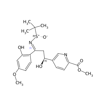 COC(=O)c1ccc([C@@H](O)C/C(=N\[S@@+]([O-])C(C)(C)C)c2ccc(OC)cc2O)cn1